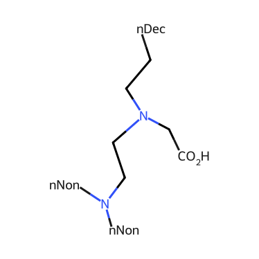 CCCCCCCCCCCCN(CCN(CCCCCCCCC)CCCCCCCCC)CC(=O)O